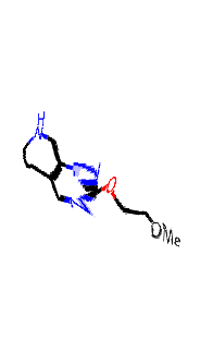 COCCOc1ncc2c(n1)CNCC2